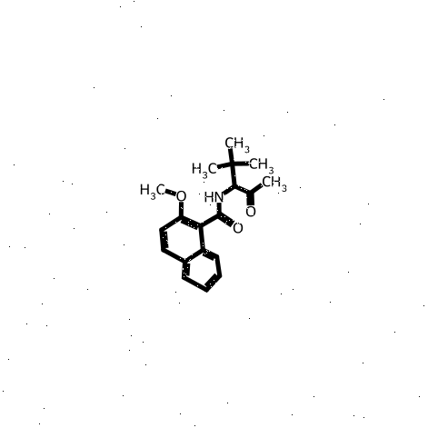 COc1ccc2ccccc2c1C(=O)NC(C(C)=O)C(C)(C)C